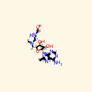 Cc1nc2c(N)ncnc2n1[C@@H]1O[C@H](CN(C)CNC=O)[C@@H](O)[C@H]1O